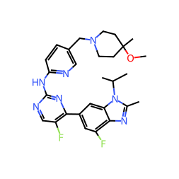 COC1(C)CCN(Cc2ccc(Nc3ncc(F)c(-c4cc(F)c5nc(C)n(C(C)C)c5c4)n3)nc2)CC1